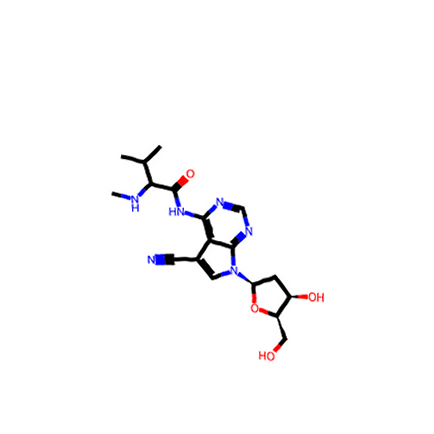 CNC(C(=O)Nc1ncnc2c1c(C#N)cn2[C@H]1C[C@@H](O)[C@@H](CO)O1)C(C)C